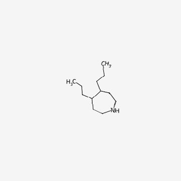 CCCC1CCNCCC1CCC